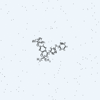 CC(C)[Si](Oc1ccc2c(c1)OC(C)(C)C=C2c1cn(Cc2ccccn2)nn1)(C(C)C)C(C)C